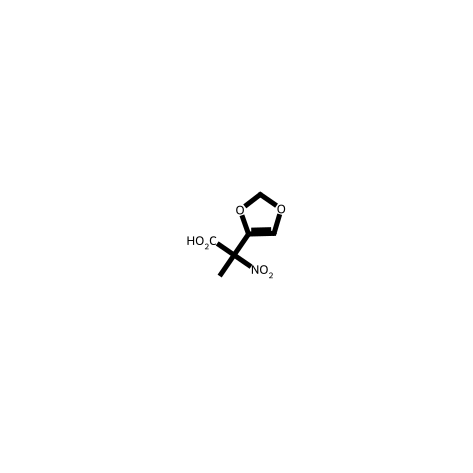 CC(C(=O)O)(C1=COCO1)[N+](=O)[O-]